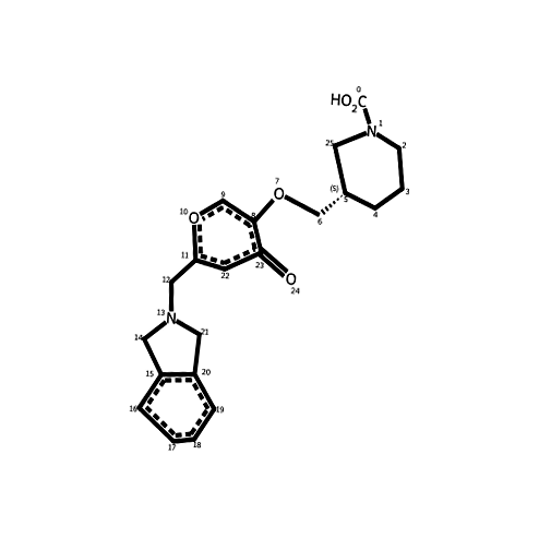 O=C(O)N1CCC[C@H](COc2coc(CN3Cc4ccccc4C3)cc2=O)C1